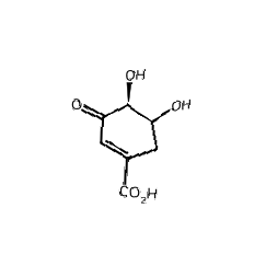 O=C(O)C1=CC(=O)[C@@H](O)C(O)C1